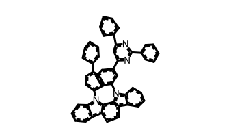 c1ccc(-c2ccc(-n3c4ccccc4c4ccc5c6ccccc6n(-c6cccc(-c7cc(-c8ccccc8)nc(-c8ccccc8)n7)c6)c5c43)cc2)cc1